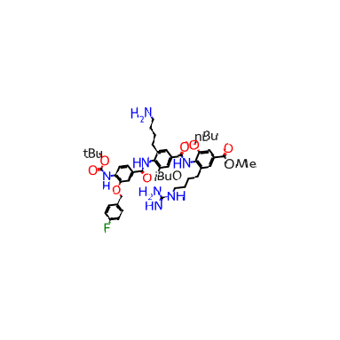 CCCCOc1cc(C(=O)OC)cc(CCCCNC(=N)N)c1NC(=O)c1cc(CCCCN)c(NC(=O)c2ccc(NC(=O)OC(C)(C)C)c(OCc3ccc(F)cc3)c2)c(OCC(C)C)c1